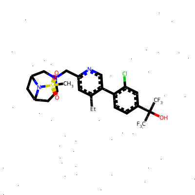 CCc1cc(CN2CCC3CC(C2)N3S(C)(=O)=O)ncc1-c1ccc(C(O)(C(F)(F)F)C(F)(F)F)cc1Cl